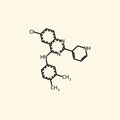 Cc1ccc(Nc2nc(C3=CC=CNC3)nc3ccc(Cl)cc23)cc1C